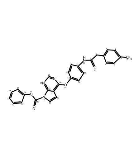 O=C(Cc1ccc(C(F)(F)F)cc1)Nc1ccc(Oc2ncnc3c2ccn3C(=O)Oc2ccccc2)cc1